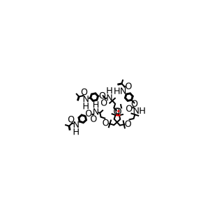 C=C(C)C(=O)Nc1ccc(OC(=O)NC(C)CCOC(C)(C)CC(CC(C)(C)OCC)(CC(C)(C)OCCC(C)(C)NC(=O)Oc2ccc(NC(=O)C(=C)C)cc2)CC(C)(C)OCCC(C)(C)NC(=O)Oc2ccc(NC(=O)C(=C)C)cc2)cc1